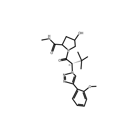 CNC(=O)C1CC(O)CN1C(=O)[C@@H](n1cc(-c2ccccc2OC)nn1)C(C)(C)C